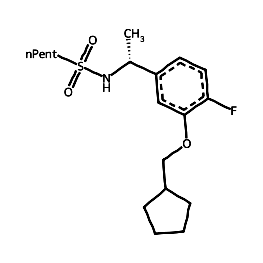 CCCCCS(=O)(=O)N[C@H](C)c1ccc(F)c(OCC2CCCC2)c1